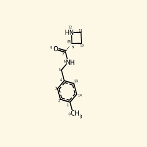 Cc1ccc(CNC(=O)[C@H]2CCN2)cc1